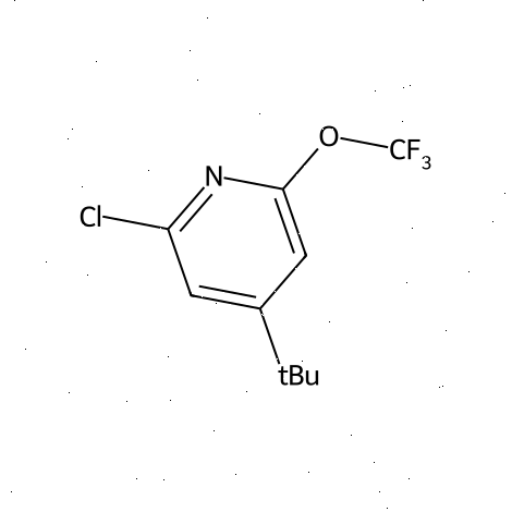 CC(C)(C)c1cc(Cl)nc(OC(F)(F)F)c1